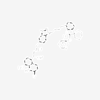 O=C(O[C@H]1CN2CCC1CC2)C1(c2cccc(CCCCn3nnc4cc(CNC[C@H](O)c5ccc(O)c6[nH]c(=O)ccc56)ccc43)c2)CCCCC1